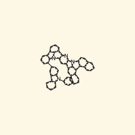 c1ccc(-n2c3ccccc3c3cc(-c4cccc5c6cccc7c8nc9c(cc8n(c45)c67)c4cc5ccccc5c5c6c7ccccc7ccc6n9c45)ccc32)cc1